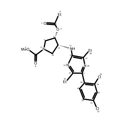 CCC(=O)O[C@H]1CN(C(=O)OC)C[C@H]1Nc1nc(CC)c(-c2ccc(Cl)cc2Cl)nc1CC